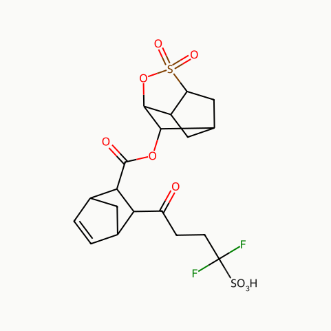 O=C(CCC(F)(F)S(=O)(=O)O)C1C2C=CC(C2)C1C(=O)OC1C2CC3C1OS(=O)(=O)C3C2